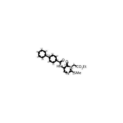 CCOC(=O)Cn1c(SC)ncc(NC(=O)c2ccc(-c3ccccc3)cc2)c1=O